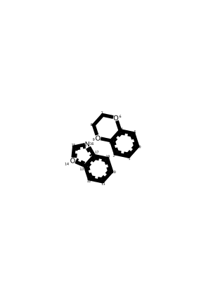 c1ccc2c(c1)OCCO2.c1ccc2ocnc2c1